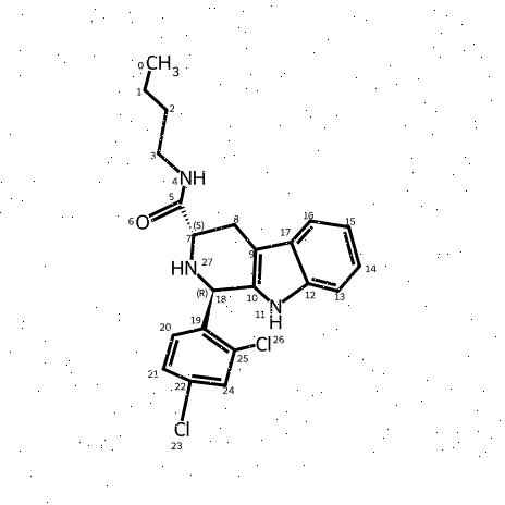 CCCCNC(=O)[C@@H]1Cc2c([nH]c3ccccc23)[C@@H](c2ccc(Cl)cc2Cl)N1